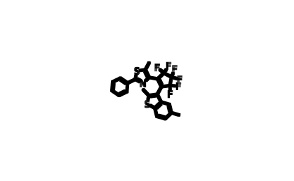 Cc1ccc2sc(C)c(C3=C(c4nc(-c5ccccc5)sc4C)C(F)(F)C(F)(F)C3(F)F)c2c1